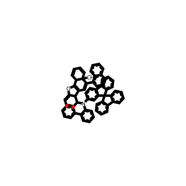 CC12C=CC=CC1C1=C(C=C2c2cccc3ccccc23)C2C(=CC=CC2N(c2ccc3c(c2)C2(c4ccccc4-c4ccccc42)c2ccccc2-3)c2ccccc2-c2ccccc2)O1